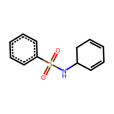 O=S(=O)(NC1C=CC=CC1)c1ccccc1